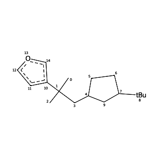 CC(C)(CC1CCC(C(C)(C)C)C1)c1ccoc1